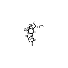 CCOC(=O)c1nc2n(c(=O)c1O)CC1CNCC2C1